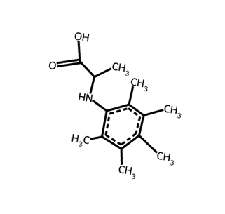 Cc1c(C)c(C)c(NC(C)C(=O)O)c(C)c1C